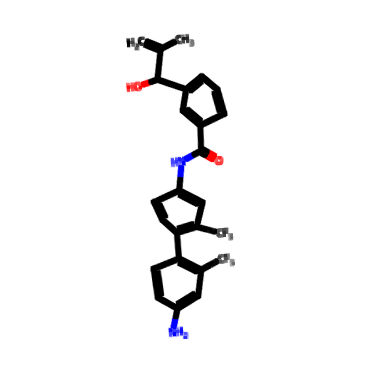 C=C(C)C(O)c1cccc(C(=O)Nc2ccc(-c3ccc(N)cc3C(F)(F)F)c(C(F)(F)F)c2)c1